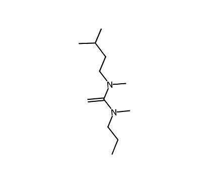 C=C(N(C)CCC)N(C)CCC(C)C